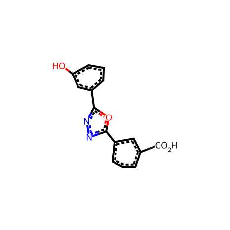 O=C(O)c1cccc(-c2nnc(-c3cccc(O)c3)o2)c1